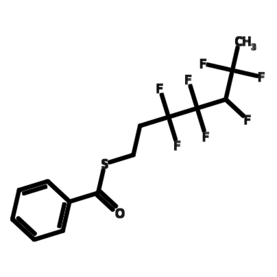 CC(F)(F)C(F)C(F)(F)C(F)(F)CCSC(=O)c1ccccc1